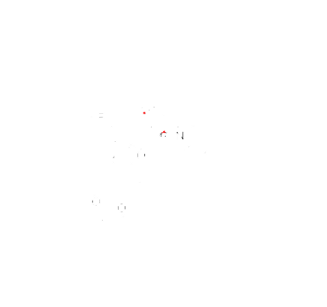 CCCCCN1C2CCC1C(COc1ccc3c(c1)OCO3)C(c1ccc(F)cc1)C2